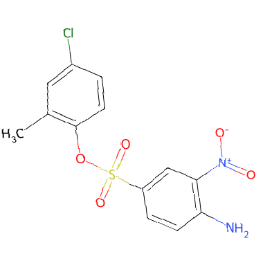 Cc1cc(Cl)ccc1OS(=O)(=O)c1ccc(N)c([N+](=O)[O-])c1